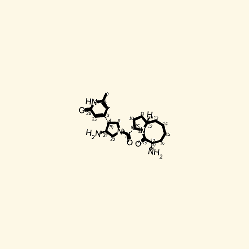 Cc1cc([C@@H]2CN(C(=O)[C@@H]3CC[C@@H]4CCCC[C@H](N)C(=O)N43)C[C@H]2N)cc(=O)[nH]1